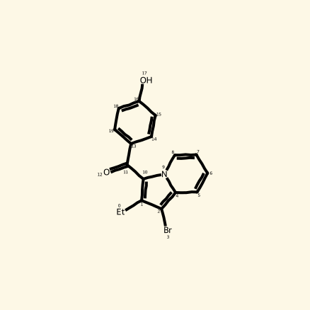 CCc1c(Br)c2ccccn2c1C(=O)c1ccc(O)cc1